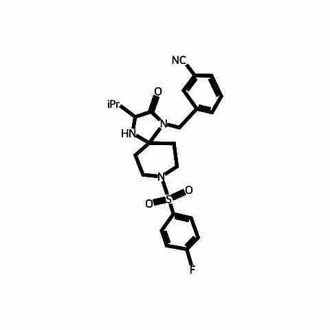 CC(C)C1NC2(CCN(S(=O)(=O)c3ccc(F)cc3)CC2)N(Cc2cccc(C#N)c2)C1=O